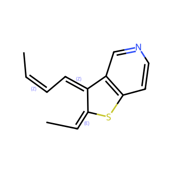 C\C=C/C=c1\c(=C/C)sc2ccncc12